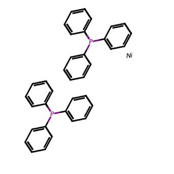 [Ni].c1ccc(P(c2ccccc2)c2ccccc2)cc1.c1ccc(P(c2ccccc2)c2ccccc2)cc1